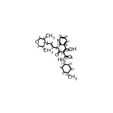 C[C@@H]1COC[C@@H](C)N1CCn1c(=O)c(C(=O)N[C@H]2CC[C@@H](C)CC2)c(O)c2cccnc21